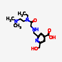 CCN(CCN(C)C)C(=O)CNCc1cc(C(=O)O)cc(CO)n1